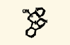 O=N[C@@H](CC1C2C=CC=CC2c2cncn21)c1ccccn1